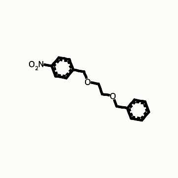 O=[N+]([O-])c1ccc(COCCOCc2ccccc2)cc1